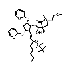 CCCCCC(/C=C/C1[C@@H](CC(O)C(F)(CCCCO)C(=O)OC)[C@@H](O[C@@H]2C=CC=CO2)C[C@H]1O[C@@H]1C=CC=CO1)O[Si](C)(C)C(C)(C)C